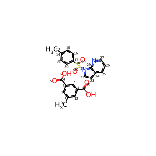 Cc1cc(C(=O)O)cc(C(=O)O)c1.Cc1ccc(S(=O)(=O)n2ccc3cccnc32)cc1